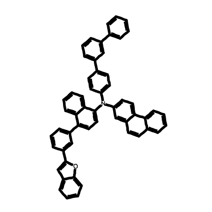 c1ccc(-c2cccc(-c3ccc(N(c4ccc5c(ccc6ccccc65)c4)c4ccc(-c5cccc(-c6cc7ccccc7o6)c5)c5ccccc45)cc3)c2)cc1